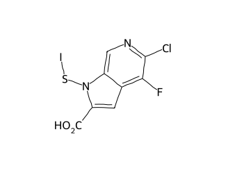 O=C(O)c1cc2c(F)c(Cl)ncc2n1SI